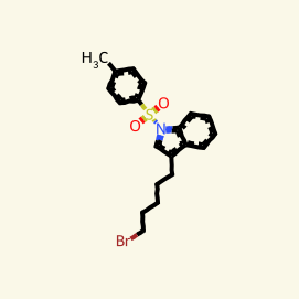 Cc1ccc(S(=O)(=O)n2cc(CCCCCBr)c3ccccc32)cc1